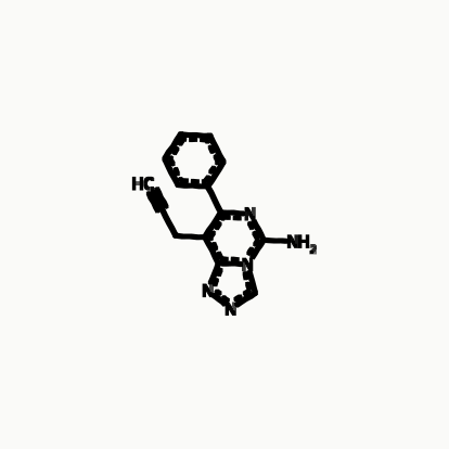 C#CCc1c(-c2ccccc2)nc(N)n2cnnc12